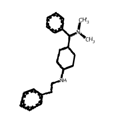 CN(C)C(c1ccccc1)C1CCC(NCCc2ccccc2)CC1